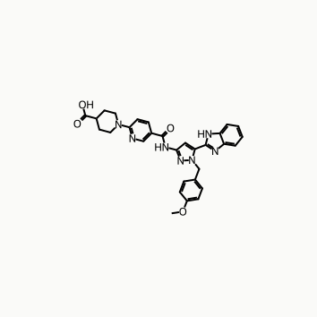 COc1ccc(Cn2nc(NC(=O)c3ccc(N4CCC(C(=O)O)CC4)nc3)cc2-c2nc3ccccc3[nH]2)cc1